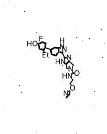 CCc1cc(O)c(F)cc1-c1ccc2c(-c3nc4c([nH]3)CN(C(=O)NCCOC3C5CN53)C4)n[nH]c2c1